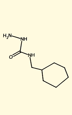 NNC(=O)NCC1CCCCC1